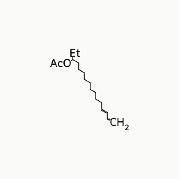 C=CC=CCCCCCCCCCC(CC)OC(C)=O